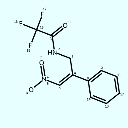 O=C(NC/C(=C\[N+](=O)[O-])c1ccccc1)C(F)(F)F